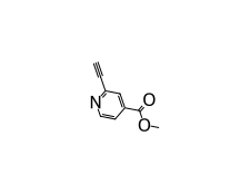 C#Cc1cc(C(=O)OC)ccn1